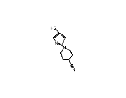 N#CC1CCN(c2ccc(S)cn2)CC1